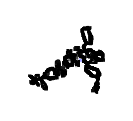 CC(C)(C)OC(=O)N1CCN(S(=O)(=O)N2C[C@@H]3[C@H](C2)[C@H]3N2C(=O)C(Cc3ccncc3)(Cc3ccncc3)N/C2=C\C(=O)c2ccc(C#N)cc2)CC1